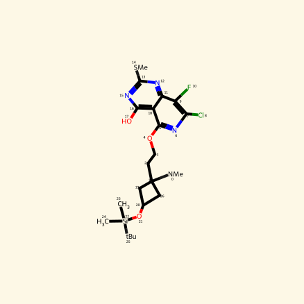 CNC1(CCOc2nc(Cl)c(F)c3nc(SC)nc(O)c23)CC(O[Si](C)(C)C(C)(C)C)C1